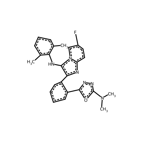 Cc1cccc(C)c1Nc1c(-c2ccccc2-c2nnc(N(C)C)o2)nc2ccc(F)cn12